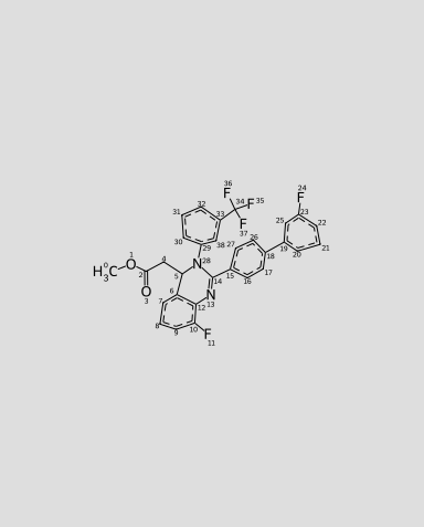 COC(=O)CC1c2cccc(F)c2N=C(c2ccc(-c3cccc(F)c3)cc2)N1c1cccc(C(F)(F)F)c1